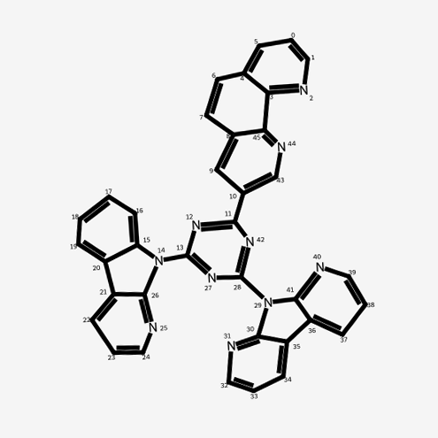 c1cnc2c(c1)ccc1cc(-c3nc(-n4c5ccccc5c5cccnc54)nc(-n4c5ncccc5c5cccnc54)n3)cnc12